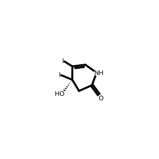 O=C1C[C@@](O)(I)C(I)=CN1